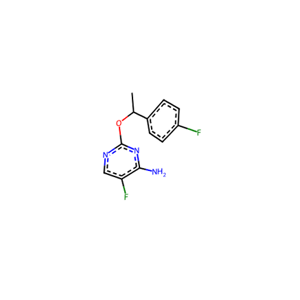 CC(Oc1ncc(F)c(N)n1)c1ccc(F)cc1